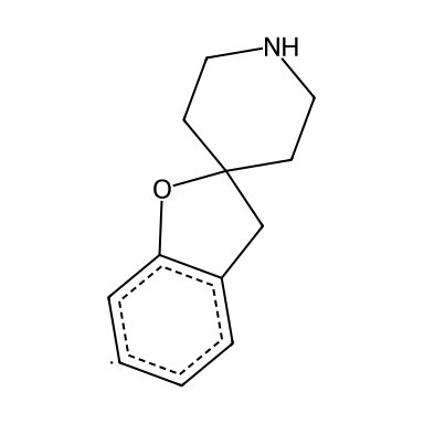 [c]1ccc2c(c1)OC1(CCNCC1)C2